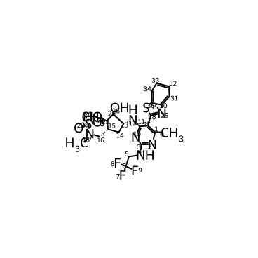 Cc1nc(NCC(F)(F)F)nc(N[C@@H]2C[C@H](CN(C)S(C)(=O)=O)[C@@H](O)[C@H]2O)c1-c1nc2ccccc2s1